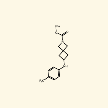 CC(C)(C)OC(=O)N1CC2(CC(Nc3ccc(C(F)(F)F)cc3)C2)C1